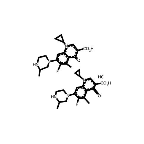 Cc1c(F)c(N2CCNC(C)C2)cc2c1c(=O)c(C(=O)O)cn2C1CC1.Cc1c(F)c(N2CCNC(C)C2)cc2c1c(=O)c(C(=O)O)cn2C1CC1.Cl